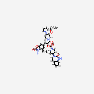 COC(=O)C1CCCN1C1CCN(C(=O)C(Cc2cc(C)c3[nH]c(=O)oc3c2)OC(=O)N2CCC(N3CCc4ccccc4NC3=O)CC2)CC1